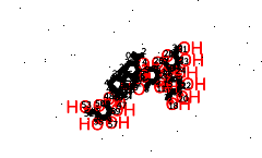 C=C(C)[C@]1(OC2OC(CO)C(O)C(OC3OC(CO)C(O)C(O)C3O)C2OC2OC(CO)C(O)CC2O)CC2C[C@@]34CCC[C@@](C)(C(=O)OC5OC(CO)C(O)C(O)C5O)[C@H]3CC[C@@](C)(C1)[C@@H]24